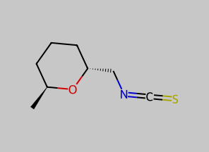 C[C@H]1CCC[C@H](CN=C=S)O1